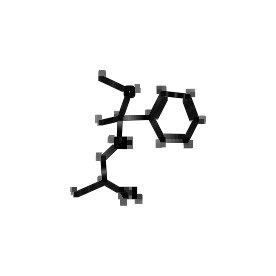 COC(C)(NCC(C)N)c1ccccc1